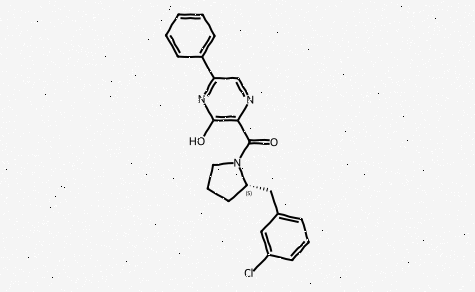 O=C(c1ncc(-c2ccccc2)nc1O)N1CCC[C@H]1Cc1cccc(Cl)c1